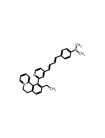 CCc1ccc2c(c1-c1cc(/C=C/C=C/c3ccc(N(C)C)cc3)ccn1)-c1cccc[n+]1CC2